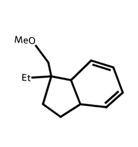 CCC1(COC)CCC2C=CC=CC21